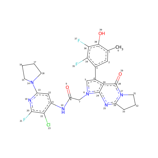 Cc1cc(-c2cn(CC(=O)Nc3cc(N4CCCC4)nc(F)c3Cl)c3nc4n(c(=O)c23)CCC4)c(F)c(F)c1O